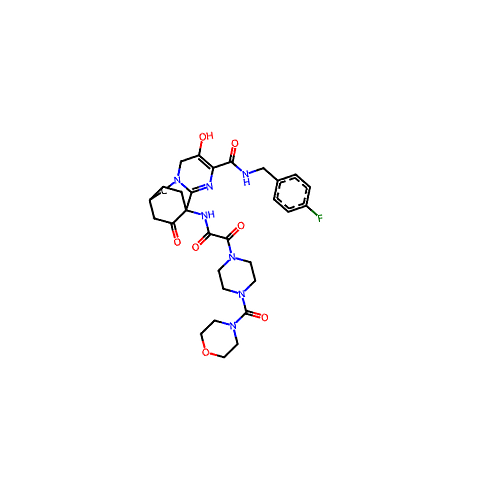 O=C(NC12CCC(CC1=O)CN1CC(O)=C(C(=O)NCc3ccc(F)cc3)N=C12)C(=O)N1CCN(C(=O)N2CCOCC2)CC1